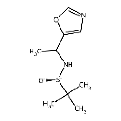 CC(N[S@+]([O-])C(C)(C)C)c1cnco1